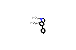 O=C(O)c1cc(-c2ccccc2)cc2c1N(C(=O)O)CC2